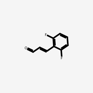 O=[C]C=Cc1c(F)cccc1F